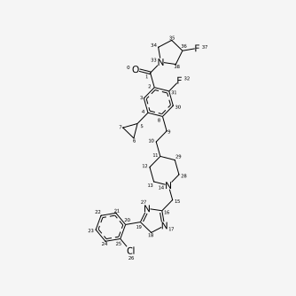 O=C(c1cc(C2CC2)c(CCC2CCN(CC3=NCC(c4ccccc4Cl)=N3)CC2)cc1F)N1CCC(F)C1